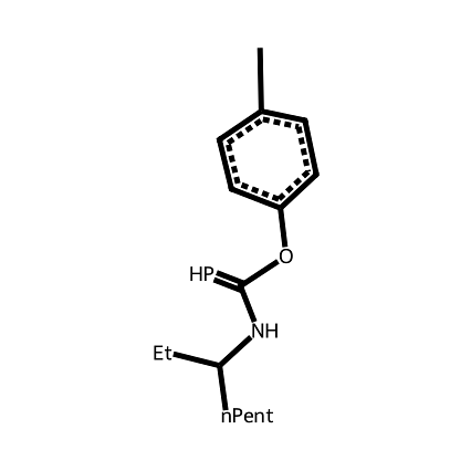 CCCCCC(CC)NC(=P)Oc1ccc(C)cc1